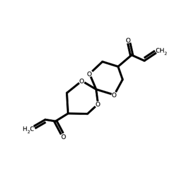 C=CC(=O)C1COC2(OC1)OCC(C(=O)C=C)CO2